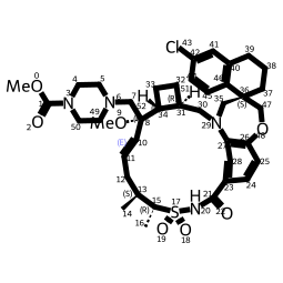 COC(=O)N1CCN(C[C@]2(OC)/C=C/C[C@H](C)[C@@H](C)S(=O)(=O)NC(=O)c3ccc4c(c3)N(C[C@@H]3CC[C@H]32)C[C@@]2(CCCc3cc(Cl)ccc32)CO4)CC1